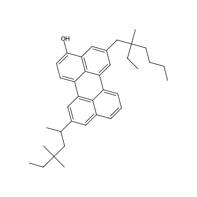 CCCCC(C)(CC)Cc1cc2c(O)ccc3c4cc(C(C)CC(C)(C)CC)cc5cccc(c(c1)c23)c54